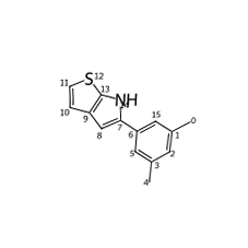 Cc1cc(C)cc(-c2cc3ccsc3[nH]2)c1